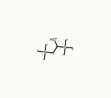 C[Si](C)(C)CC(O)[Si](C)(C)C